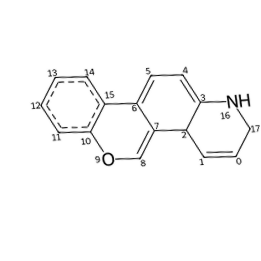 C1=CC2C(=CC=C3C2=COc2ccccc23)NC1